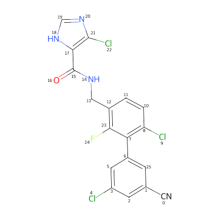 N#Cc1cc(Cl)cc(-c2c(Cl)ccc(CNC(=O)c3[nH]cnc3Cl)c2F)c1